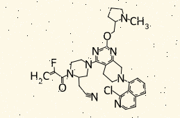 C=C(F)C(=O)N1CCN(c2nc(OCC3CCCN3C)nc3c2CCN(c2cccc4ccnc(Cl)c24)C3)CC1CC#N